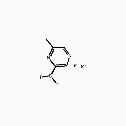 Cc1cncc(B(F)F)n1.[F-].[K+]